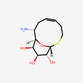 N[C@@H]1CC=CCCS[C@H]2O[C@H]1[C@H](O)[C@H](O)[C@H]2O